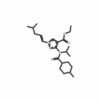 CCOC(=O)c1cn(C=CCC(C)C)nc1N(C(=O)C1CCC(C)CC1)C(C)C